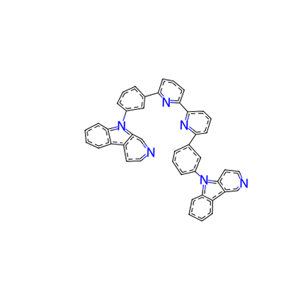 c1cc(-c2cccc(-c3cccc(-c4cccc(-n5c6ccccc6c6ccncc65)c4)n3)n2)cc(-n2c3ccccc3c3cnccc32)c1